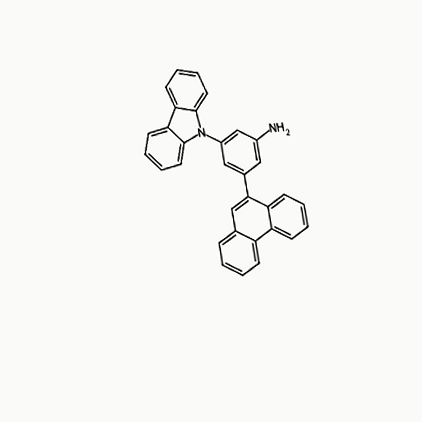 Nc1cc(-c2cc3ccccc3c3ccccc23)cc(-n2c3ccccc3c3ccccc32)c1